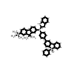 CC1(C)c2cc(N(c3ccc(-c4ccc5c(c4)-c4ccccc4P5(=O)c4ccccc4)cc3)C3Cc4ccccc4S3)ccc2-c2ccc([Si](C)(C)C)cc21